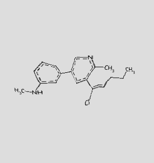 CCC/C=C(/Cl)c1cc(-c2cccc(NC)c2)cnc1C